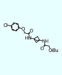 CC(C)COCC(=O)NC12CC(NC(=O)COc3ccc(Cl)cc3)(C1)C2